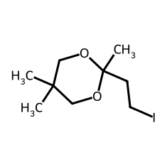 CC1(C)COC(C)(CCI)OC1